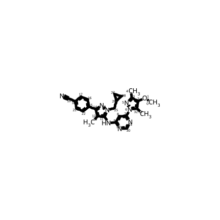 COc1c(C)nn(-c2cc(Nc3c(C)c(-c4ccc(C#N)cc4)nn3CC3CC3)ncn2)c1C